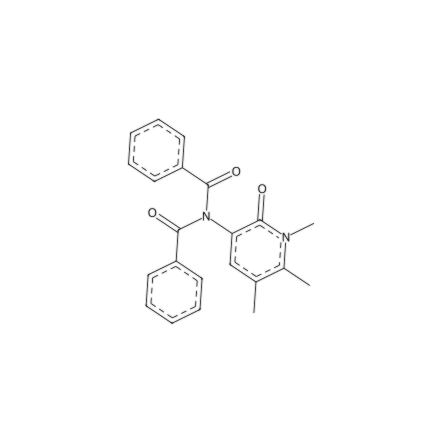 Cc1cc(N(C(=O)c2ccccc2)C(=O)c2ccccc2)c(=O)n(C)c1C